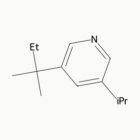 CCC(C)(C)c1cncc(C(C)C)c1